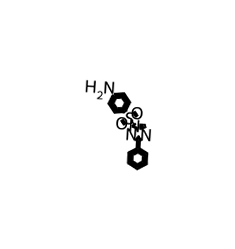 Nc1ccc(S(=O)(=O)n2cnc(-c3ccccc3)n2)cc1